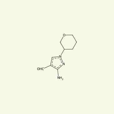 Nc1nn(C2CCCOC2)cc1C=O